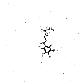 CC(=O)OCCC(=O)c1c(F)c(F)c(F)c(F)c1F